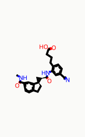 CNC(=O)c1ccc2c(c1)[C@]1(CC2)C[C@H]1C(=O)Nc1cc(C#N)ccc1CCCC(=O)O